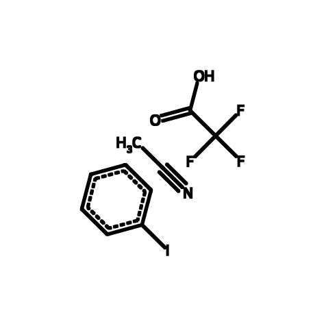 CC#N.Ic1ccccc1.O=C(O)C(F)(F)F